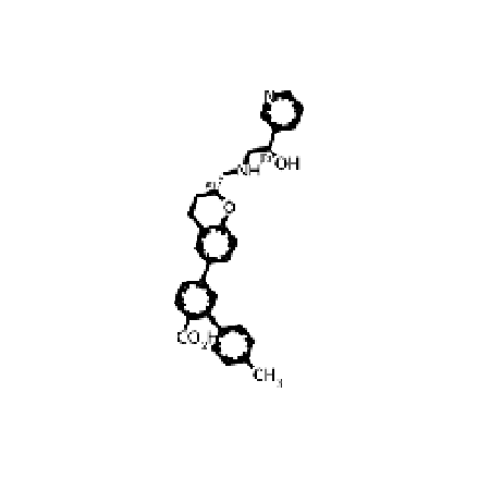 Cc1ccc(-c2cc(-c3ccc4c(c3)CC[C@H](CNC[C@H](O)c3cccnc3)O4)ccc2C(=O)O)cc1